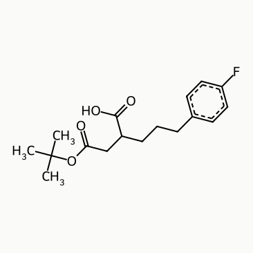 CC(C)(C)OC(=O)CC(CCCc1ccc(F)cc1)C(=O)O